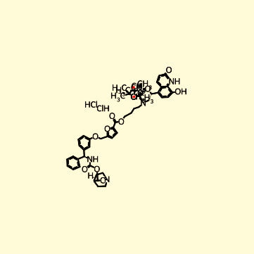 CC(C)(C)OC(=O)N(CCCCOC(=O)c1ccc(COc2cccc([C@@H](NC(=O)O[C@H]3CN4CCC3CC4)c3ccccc3)c2)o1)C[C@H](O[Si](C)(C)C(C)(C)C)c1ccc(O)c2[nH]c(=O)ccc12.Cl.Cl